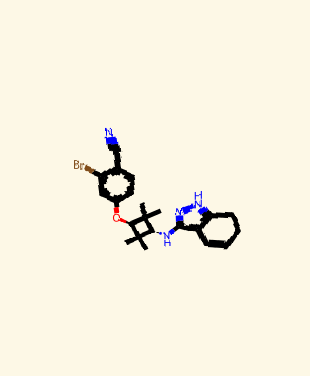 CC1(C)[C@H](Nc2n[nH]c3c2C=CCC3)C(C)(C)[C@H]1Oc1ccc(C#N)c(Br)c1